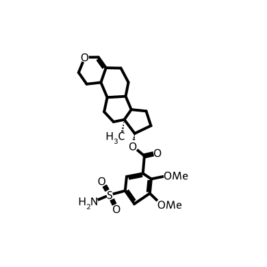 COc1cc(S(N)(=O)=O)cc(C(=O)O[C@H]2CCC3C4CCC5=COCCC5C4CC[C@@]32C)c1OC